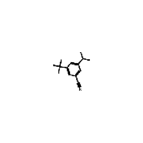 CC(C)c1cc(C#N)cc(C(C)(C)C)c1